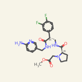 COC(=O)CN1CCC[C@@H]1C(=O)NC[C@H](C(=O)NCc1ccc(N)nc1)c1ccc(F)c(F)c1